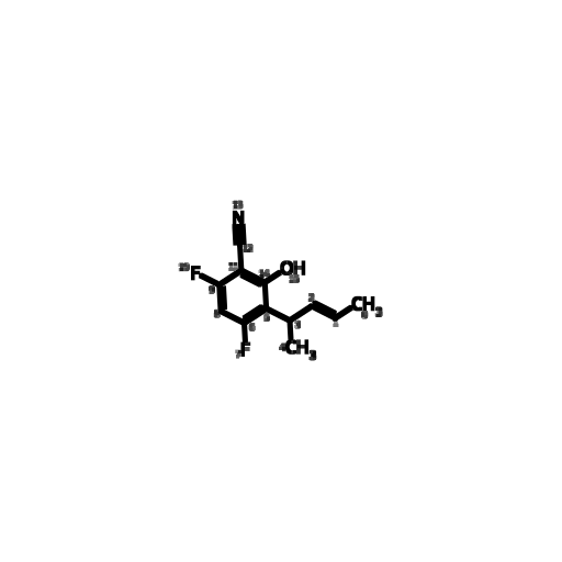 C/C=C/C(C)c1c(F)cc(F)c(C#N)c1O